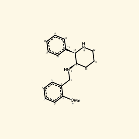 COc1ccccc1CN[C@@H]1CCCN[C@@H]1c1ccccc1